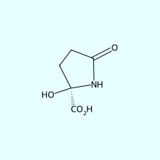 O=C1CC[C@@](O)(C(=O)O)N1